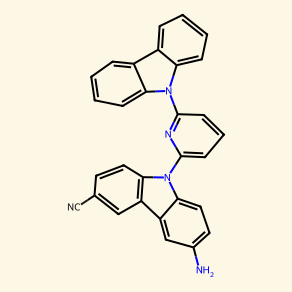 N#Cc1ccc2c(c1)c1cc(N)ccc1n2-c1cccc(-n2c3ccccc3c3ccccc32)n1